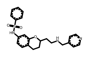 O=S(=O)(Nc1ccc2c(c1)OC(CCNCc1ccncc1)CC2)c1ccccc1